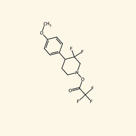 COc1ccc(C2CCN(OC(=O)C(F)(F)F)CC2(F)F)cc1